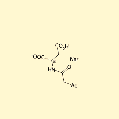 CC(=O)CC(=O)N[C@@H](CC(=O)O)C(=O)[O-].[Na+]